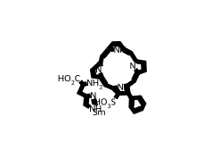 NC(Cc1c[nH]cn1)C(=O)O.O=S(=O)(O)c1c(-c2ccccc2)c2cc3nc(cc4ccc(cc5nc(cc1[nH]2)C=C5)[nH]4)C=C3.[Sm]